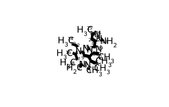 C=NN(C)C(=C(C)C)c1cc(N(CCC)C(C)CC)nn2c(-c3cc(C)nn3N)nc(C)c12